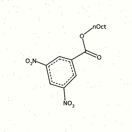 CCCCCCCCOC(=O)c1cc([N+](=O)[O-])cc([N+](=O)[O-])c1